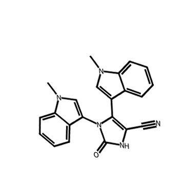 Cn1cc(-c2c(C#N)[nH]c(=O)n2-c2cn(C)c3ccccc23)c2ccccc21